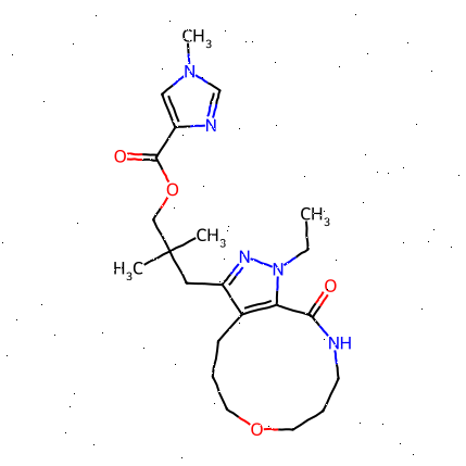 CCn1nc(CC(C)(C)COC(=O)c2cn(C)cn2)c2c1C(=O)NCCCOCCC2